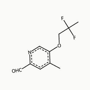 Cc1cc(C=O)ncc1OCC(C)(F)F